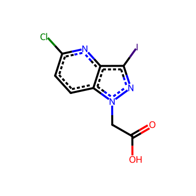 O=C(O)Cn1nc(I)c2nc(Cl)ccc21